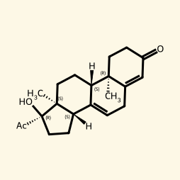 CC(=O)[C@@]1(O)CC[C@H]2C3=CCC4=CC(=O)CC[C@]4(C)[C@H]3CC[C@@]21C